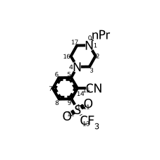 CCCN1CCN(c2cccc(S(=O)(=O)C(F)(F)F)c2C#N)CC1